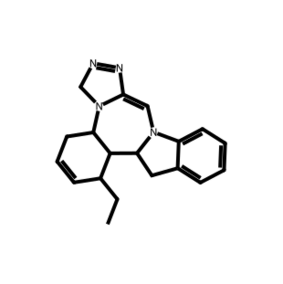 CCC1C=CCC2C1C1Cc3ccccc3N1C=C1N=NCN12